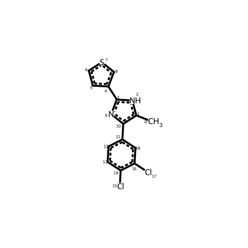 Cc1[nH]c(-c2ccsc2)nc1-c1ccc(Cl)c(Cl)c1